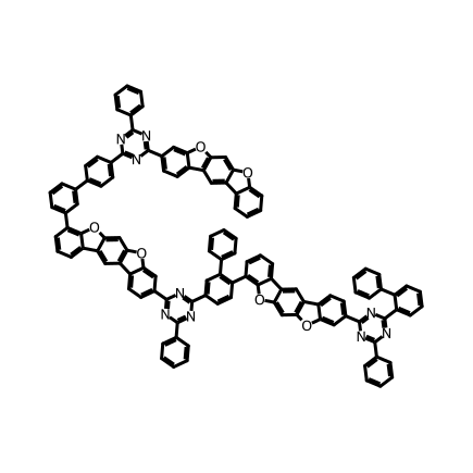 c1ccc(-c2nc(-c3ccc(-c4cccc(-c5cccc6c5oc5cc7oc8cc(-c9nc(-c%10ccccc%10)nc(-c%10ccc(-c%11cccc%12c%11oc%11cc%13oc%14cc(-c%15nc(-c%16ccccc%16)nc(-c%16ccccc%16-c%16ccccc%16)n%15)ccc%14c%13cc%11%12)c(-c%11ccccc%11)c%10)n9)ccc8c7cc56)c4)cc3)nc(-c3ccc4c(c3)oc3cc5oc6ccccc6c5cc34)n2)cc1